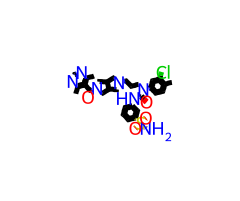 Cc1ccc(N(CCCN2CC3CN(C(=O)c4c(C)ncnc4C)CC3C2)C(=O)Nc2cccc(S(N)(=O)=O)c2)cc1Cl